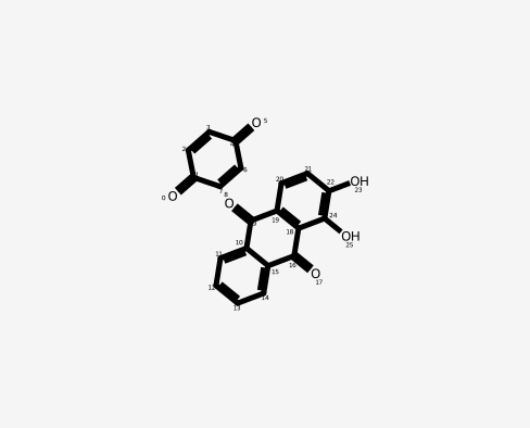 O=C1C=CC(=O)C=C1.O=C1c2ccccc2C(=O)c2c1ccc(O)c2O